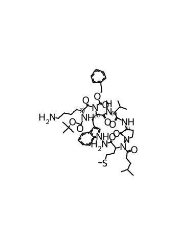 CSCCC(C(N)=O)N(C(=O)CCC(C)C)N1CC[C@H](NC(=O)[C@H](NC(=O)[C@@H](Cc2c[nH]c3ccccc23)N(C(=O)OCc2ccccc2)C(=O)[C@H](CCCCN)NC(=O)OC(C)(C)C)C(C)C)C1=O